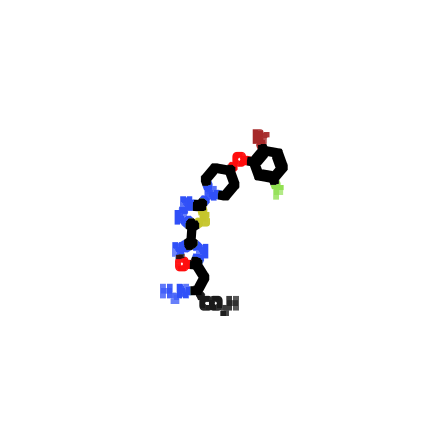 N[C@@H](Cc1nc(-c2nnc(N3CCC(Oc4cc(F)ccc4Br)CC3)s2)no1)C(=O)O